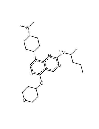 CCCC(C)Nc1ncc2c(OC3CCOCC3)ncc([C@H]3CC[C@@H](N(C)C)CC3)c2n1